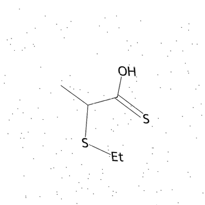 CCSC(C)C(O)=S